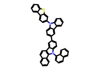 c1ccc2c(-n3c4ccc(-c5ccc6c(c5)c5ccccc5n6-c5ccc6c(c5)sc5ccccc56)cc4c4ccc5ccccc5c43)cccc2c1